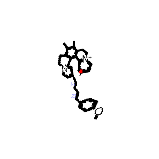 COc1ccc(/C=C/C=C/c2cc[n+]3c(c2)-c2c(c(C)c(C)c4c2-c2c5ccccc5cc[n+]2CC4)CC3)cc1